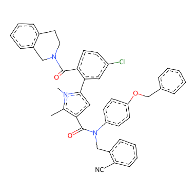 Cc1c(C(=O)N(Cc2ccccc2C#N)c2ccc(OCc3ccccc3)cc2)cc(-c2cc(Cl)ccc2C(=O)N2CCc3ccccc3C2)n1C